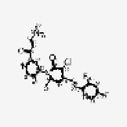 Cc1cnc(C(=O)/C=C/N(C)C)cc1-n1c(C)cc(SCc2ncc(F)cc2F)c(Cl)c1=O